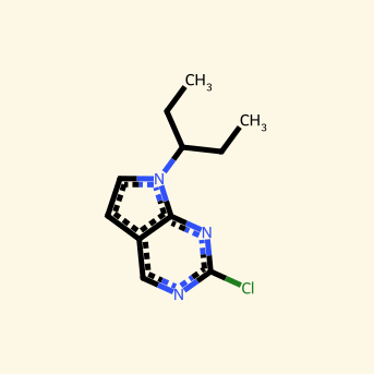 CCC(CC)n1ccc2cnc(Cl)nc21